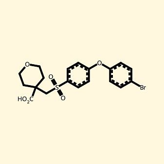 O=C(O)C1(CS(=O)(=O)c2ccc(Oc3ccc(Br)cc3)cc2)CCOCC1